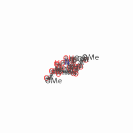 CCCCCCCCOC(CCC(=O)OCC(COC(=O)CCCCCC(=O)OC)COC(=O)OCCCCCC(CCOC(=O)OCC(COC(=O)CCCCCC(=O)OC)COC(=O)CCC(OCCCCCCCC)OCCCCCCCC)COC(=O)OCCCN(CCO)CCO)OCCCCCCCC